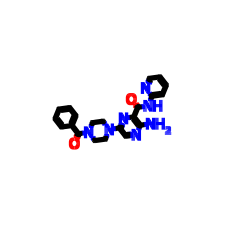 Nc1ncc(N2CCN(C(=O)c3ccccc3)CC2)nc1C(=O)Nc1ccccn1